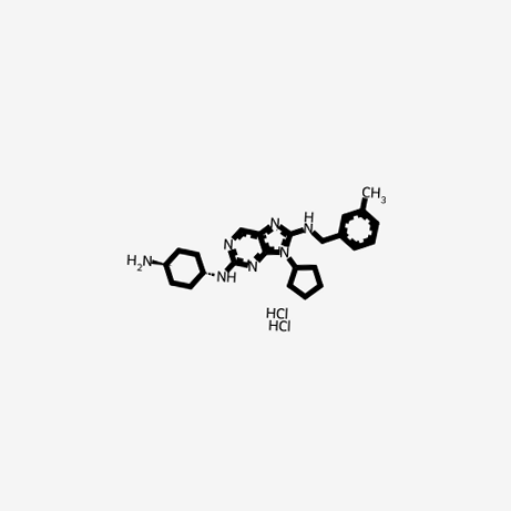 Cc1cccc(CNc2nc3cnc(N[C@H]4CC[C@H](N)CC4)nc3n2C2CCCC2)c1.Cl.Cl